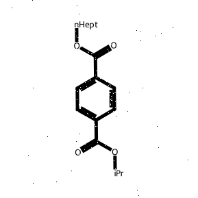 CCCCCCCOC(=O)c1ccc(C(=O)OC(C)C)cc1